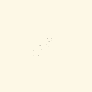 CCCCCCCCCOc1ccc(C(=O)Oc2ccc(-c3ncc(CCCCCCC)cn3)cc2)cc1Br